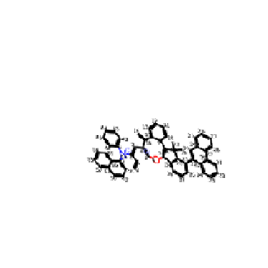 C=C/C(=C\C1=C\OC2=C(C3C=CC=CC3C1=C)C(C)(C)C1C(c3cc4ccccc4c4ccccc34)=CC=CC21)N(c1ccccc1)c1cccc2ccccc12